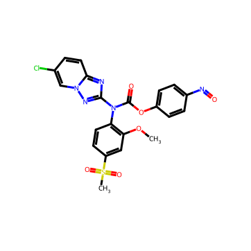 COc1cc(S(C)(=O)=O)ccc1N(C(=O)Oc1ccc(N=O)cc1)c1nc2ccc(Cl)cn2n1